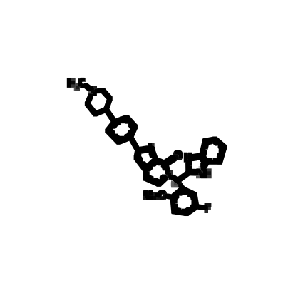 COc1ccc(F)cc1[C@H](c1nc2ccccc2[nH]1)n1ccc2cc(-c3ccc(C4CCN(C)CC4)cc3)sc2c1=O